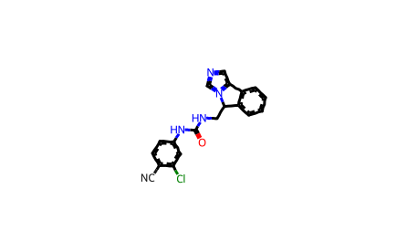 N#Cc1ccc(NC(=O)NCC2c3ccccc3-c3cncn32)cc1Cl